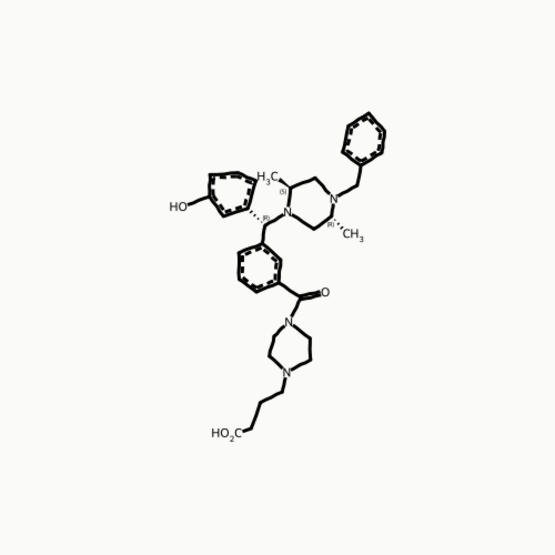 C[C@@H]1CN([C@@H](c2cccc(O)c2)c2cccc(C(=O)N3CCN(CCCC(=O)O)CC3)c2)[C@@H](C)CN1Cc1ccccc1